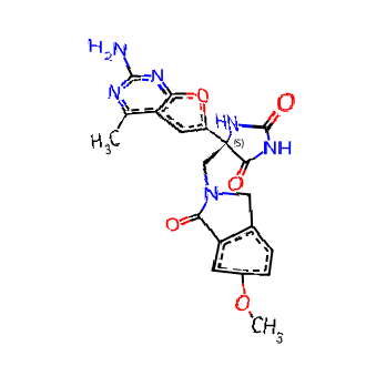 COc1ccc2c(c1)C(=O)N(C[C@@]1(c3cc4c(C)nc(N)nc4o3)NC(=O)NC1=O)C2